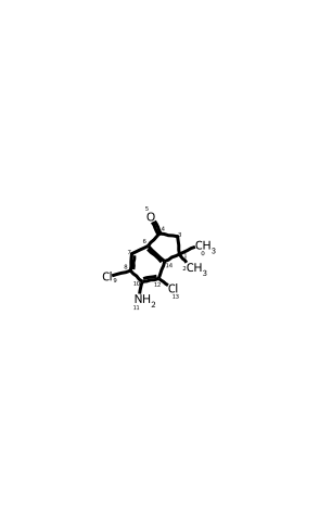 CC1(C)CC(=O)c2cc(Cl)c(N)c(Cl)c21